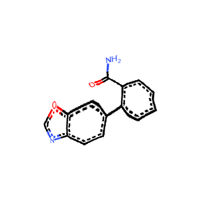 NC(=O)c1ccccc1-c1ccc2ncoc2c1